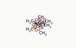 CC(=O)O[Si](C)(C)O[Si](C)(C)O[Si](C)(C)O[Si](C)(C)C